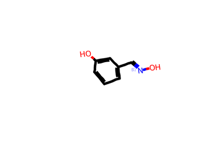 O/N=C/c1cccc(O)c1